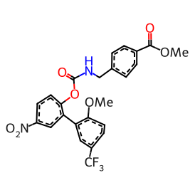 COC(=O)c1ccc(CNC(=O)Oc2ccc([N+](=O)[O-])cc2-c2cc(C(F)(F)F)ccc2OC)cc1